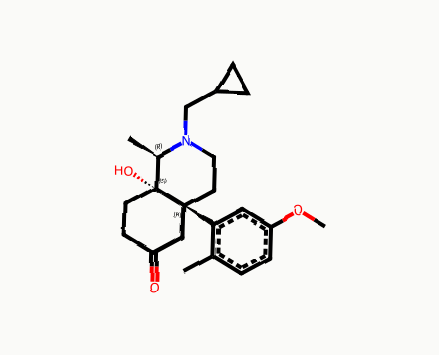 COc1ccc(C)c([C@]23CCN(CC4CC4)[C@H](C)[C@]2(O)CCC(=O)C3)c1